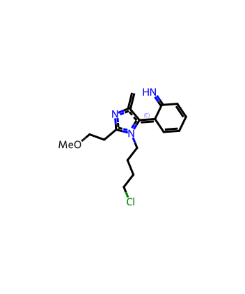 C=c1nc(CCOC)n(CCCCCl)/c1=C1\C=CC=CC1=N